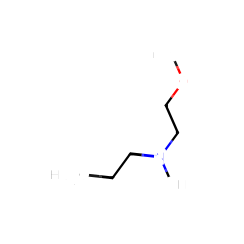 CCCOCCN(C)CCC(=O)O